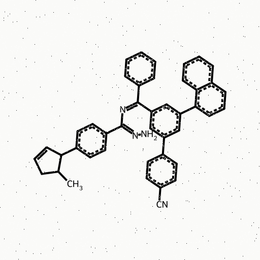 CC1CC=CC1c1ccc(C(=N/N)/N=C(/c2ccccc2)c2cc(-c3ccc(C#N)cc3)cc(-c3cccc4ccccc34)c2)cc1